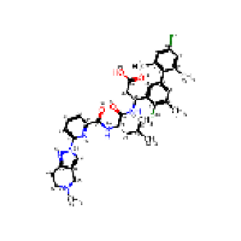 Cc1cc(-c2c(C)cc(F)cc2C)cc([C@H](CC(=O)O)NC(=O)[C@H](CC(C)C)NC(=O)c2cccc(-n3cc4c(n3)CCN(C)C4)n2)c1F